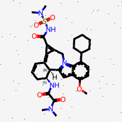 COc1ccc(C2CCCCC2)c2c1cc1n2CC2=C(C(=O)NS(=O)(=O)N(C)C)C2=C2C=CC[C@H](NC(=O)C(=O)N(C)C)[C@@H]21